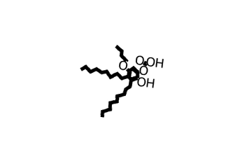 CCCCCCCCCc1c(OCCCC)cc(OC(=O)O)c(O)c1CCCCCCCCC